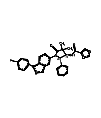 CC1(C)C(=O)N(c2ccc3c(cnn3-c3ccc(F)cc3)c2)[C@@H](c2ccccc2)[C@@H]1NC(=O)c1cnco1